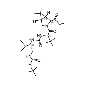 COC(=O)[C@@H]1[C@@H]2[C@H](CN1C(=O)[C@@H](NC(=O)N[C@H](CNC(=O)OC(C)(C)C)C(C)C)C(C)(C)C)C2(C)C